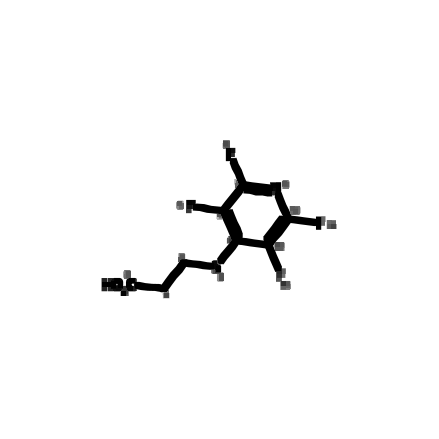 O=C(O)CCSc1c(F)c(F)nc(F)c1F